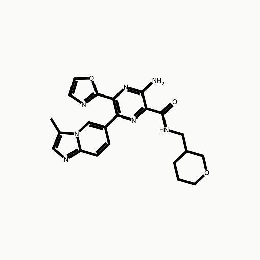 Cc1cnc2ccc(-c3nc(C(=O)NCC4CCCOC4)c(N)nc3-c3ncco3)cn12